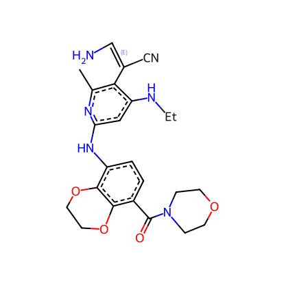 CCNc1cc(Nc2ccc(C(=O)N3CCOCC3)c3c2OCCO3)nc(C)c1/C(C#N)=C\N